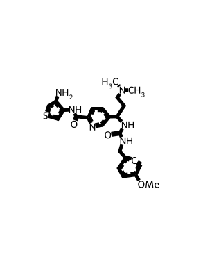 COc1ccc(CNC(=O)NC(CCN(C)C)c2ccc(C(=O)Nc3cscc3N)nc2)cc1